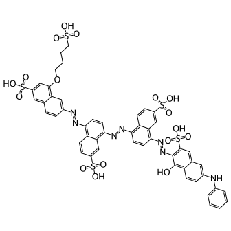 O=S(=O)(O)CCCCOc1cc(S(=O)(=O)O)cc2ccc(N=Nc3ccc(N=Nc4ccc(N=Nc5c(S(=O)(=O)O)cc6cc(Nc7ccccc7)ccc6c5O)c5cc(S(=O)(=O)O)ccc45)c4cc(S(=O)(=O)O)ccc34)cc12